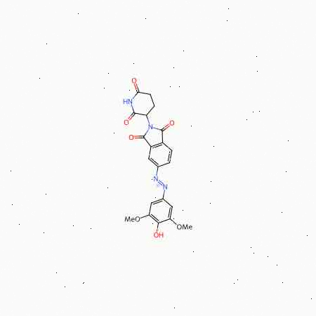 COc1cc(/N=N/c2ccc3c(c2)C(=O)N(C2CCC(=O)NC2=O)C3=O)cc(OC)c1O